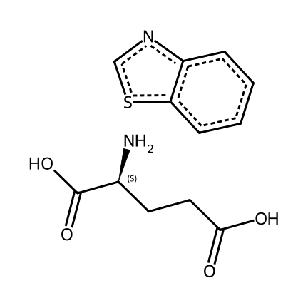 N[C@@H](CCC(=O)O)C(=O)O.c1ccc2scnc2c1